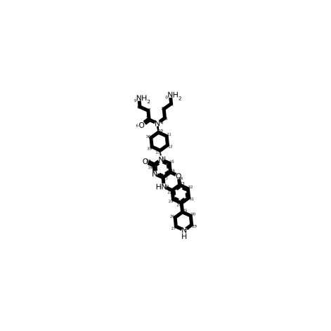 NCCCN(C(=O)CCN)[C@H]1CC[C@H](n2cc3c(nc2=O)Nc2cc(C4CCNCC4)ccc2O3)CC1